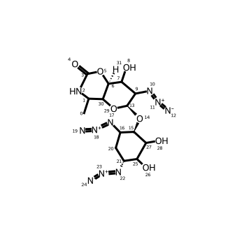 CC1NC(=O)O[C@H]2C(O)C(N=[N+]=[N-])[C@@H](O[C@@H]3C(N=[N+]=[N-])C[C@@H](N=[N+]=[N-])C(O)C3O)OC12